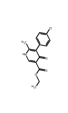 CCOC(=O)c1c[nH]c(C)c(-c2ccc(Cl)cc2)c1=O